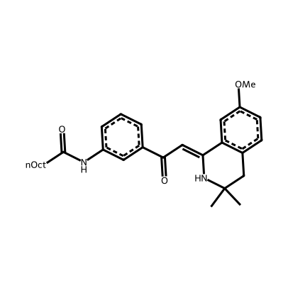 CCCCCCCCC(=O)Nc1cccc(C(=O)C=C2NC(C)(C)Cc3ccc(OC)cc32)c1